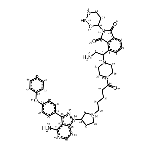 NCC(c1cccc2c1C(=O)N(C1CCONO1)C2=O)N1CCN(C(=O)CCCCN2CCC(n3nc(-c4ccc(Oc5ccccc5)cc4)c4c(N)ncnc43)C2)CC1